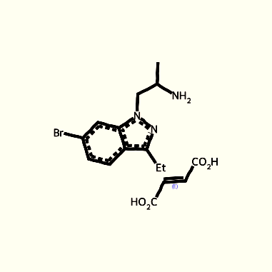 CCc1nn(CC(C)N)c2cc(Br)ccc12.O=C(O)/C=C/C(=O)O